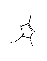 Cc1nc(C(C)C)n(C)n1